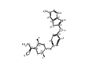 C[C@H]1CN(C(N)=O)[C@@H](C)CN1Cc1ccc(Oc2nc3ncc(Cl)cc3s2)cc1